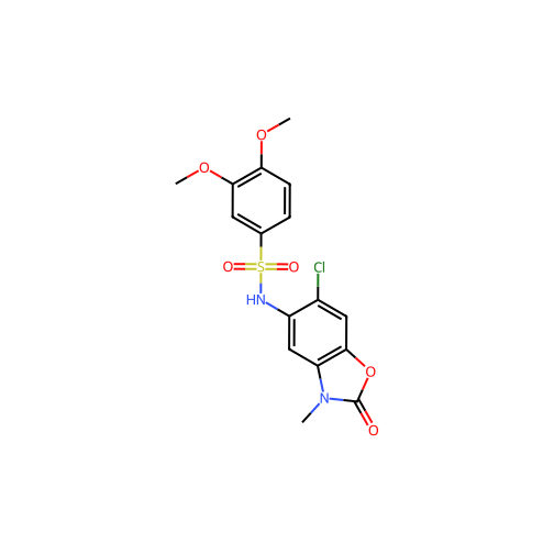 COc1ccc(S(=O)(=O)Nc2cc3c(cc2Cl)oc(=O)n3C)cc1OC